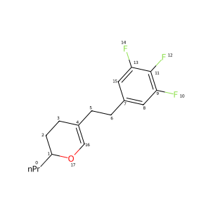 CCCC1CCC(CCc2cc(F)c(F)c(F)c2)=CO1